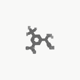 C#CC(N)c1cc([N+](=O)[O-])cc(C(F)(F)F)c1